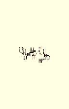 N#CC1CCCN1C(=O)CNC1C[C@@H]2CN(C(=O)N3CCOCC3)C[C@@H]2C1